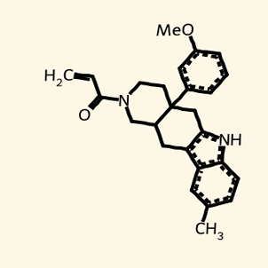 C=CC(=O)N1CCC2(c3cccc(OC)c3)Cc3[nH]c4ccc(C)cc4c3CC2C1